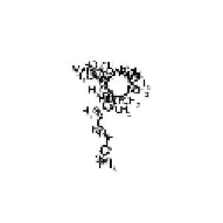 CC[C@H]1OC(=O)[C@H](C)[C@@H](O[C@H]2C[C@@](C)(OC)[C@@H](O)[C@H](C)O2)[C@H](C)[C@@H](O[C@H]2C[C@@H](N(C)CCc3cn([C@@H]4CC4c4ccc(S(C)(=O)=O)cc4)nn3)C[C@@H](C)O2)[C@](C)(O)C[C@@H](C)CN(C)[C@H](C)[C@@H](O)[C@]1(C)O